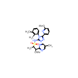 COc1cccc(-c2nnc(NS(=O)(=O)C(C)C(OC)c3ncc(C)cn3)n2-c2cccc(C)c2C)n1